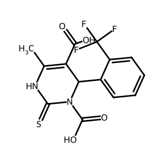 CC1=C(C(=O)O)C(c2ccccc2C(F)(F)F)N(C(=O)O)C(=S)N1